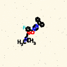 CN(C)CCCOc1cc(F)ccc1C(=O)N1CCN(C2c3ccccc3-c3ccccc32)CC1